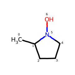 CC1CCCN1O